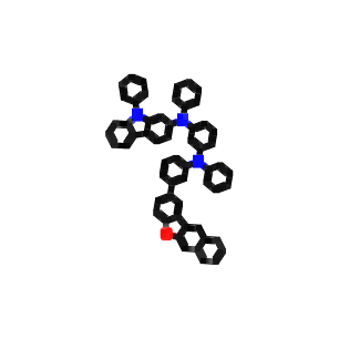 c1ccc(N(c2cccc(-c3ccc4oc5cc6ccccc6cc5c4c3)c2)c2cccc(N(c3ccccc3)c3ccc4c5ccccc5n(-c5ccccc5)c4c3)c2)cc1